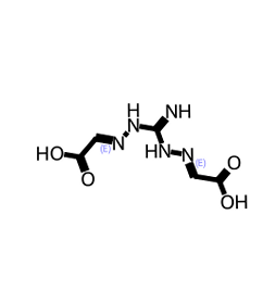 N=C(N/N=C/C(=O)O)N/N=C/C(=O)O